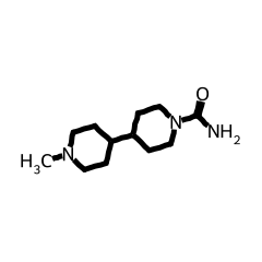 CN1CCC(C2CCN(C(N)=O)CC2)CC1